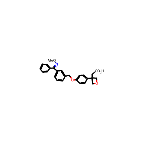 CO/N=C(\c1ccccc1)c1cccc(COc2ccc(C3(CC(=O)O)COC3)cc2)c1